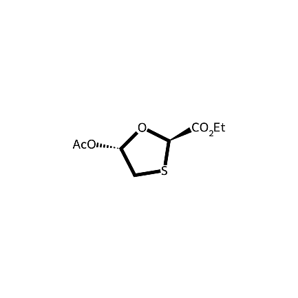 CCOC(=O)[C@@H]1O[C@@H](OC(C)=O)CS1